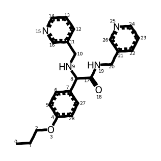 CCCOc1ccc(C(NCc2cccnc2)C(=O)NCc2cccnc2)cc1